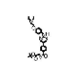 CCN(CC)CCOc1ccc(Nc2ncc(-c3ccc(C(=O)N(C)CC(=O)OC(C)(C)C)cc3)cn2)cc1